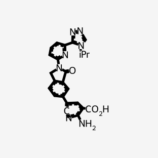 CC(C)n1cnnc1-c1cccc(N2Cc3ccc(-c4cnc(N)c(C(=O)O)c4)cc3C2=O)n1